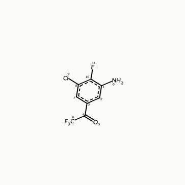 Nc1cc(C(=O)C(F)(F)F)cc(Cl)c1F